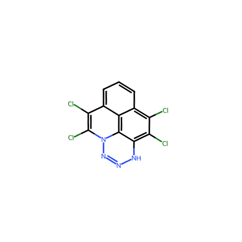 Clc1c(Cl)c2cccc3c(Cl)c(Cl)n4nn[nH]c1c-4c23